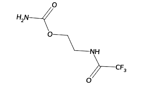 NC(=O)OCCNC(=O)C(F)(F)F